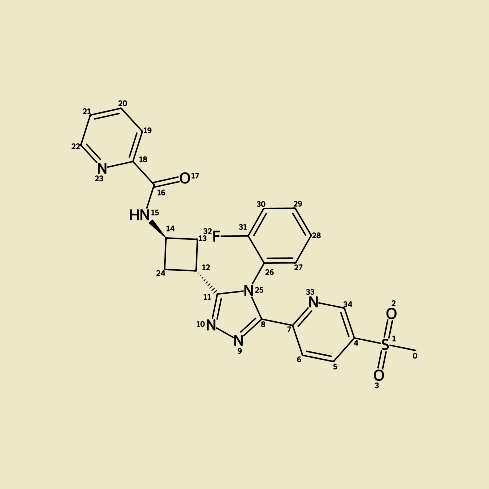 CS(=O)(=O)c1ccc(-c2nnc([C@H]3C[C@H](NC(=O)c4ccccn4)C3)n2-c2ccccc2F)nc1